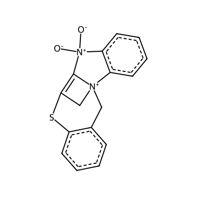 [O-][N+]1([O-])C2=C3C[N+]2(Cc2ccccc2S3)c2ccccc21